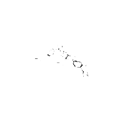 Cc1ccc(C(=O)N2C[C@H](Oc3ccc(C#N)c(Cl)c3)C(C)(C)C2)cc1